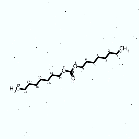 CCCCCCCCOC(=O)OCCCCCCCC